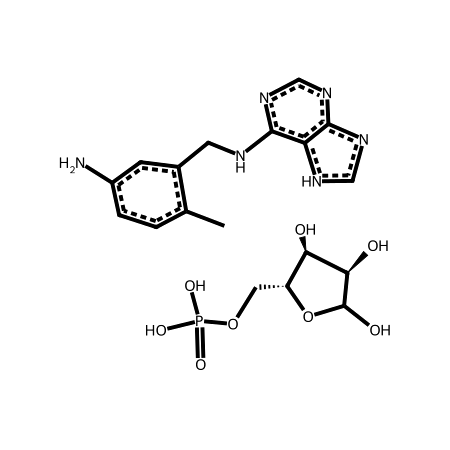 Cc1ccc(N)cc1CNc1ncnc2nc[nH]c12.O=P(O)(O)OC[C@H]1OC(O)[C@H](O)[C@@H]1O